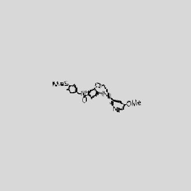 COc1cncc(N2CCOc3cc(C(=O)NCc4ccc(SC)cc4)ccc32)c1